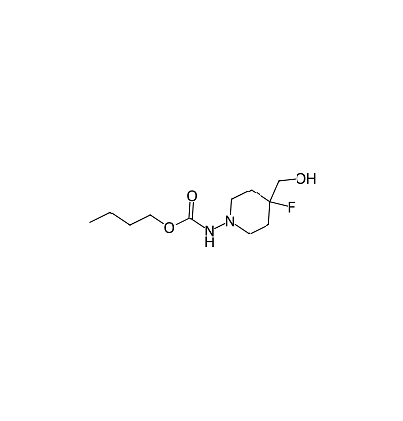 CCCCOC(=O)NN1CCC(F)(CO)CC1